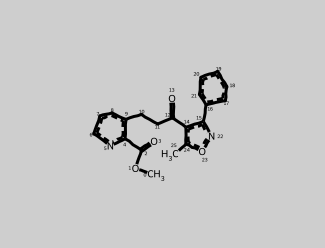 COC(=O)c1ncccc1CCC(=O)c1c(-c2ccccc2)noc1C